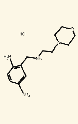 Cl.Nc1ccc(N)c(CNCCN2CCOCC2)c1